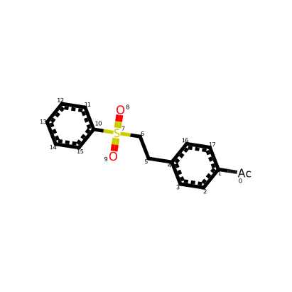 CC(=O)c1ccc(CCS(=O)(=O)c2ccccc2)cc1